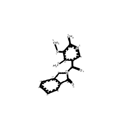 COc1c(C)ncc(C(=O)N2Cc3ccccc3C2=O)c1C